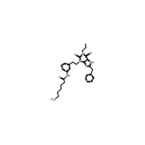 CCCn1c(=O)c2[nH]c(Cc3ccccc3)nc2n(CCc2cccc(NC(=O)CCCCCN)c2)c1=O